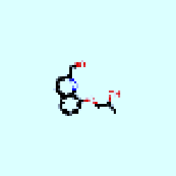 CC(O)COc1cccc2ccc(C=O)nc12